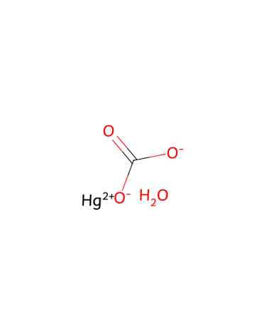 O.O=C([O-])[O-].[Hg+2]